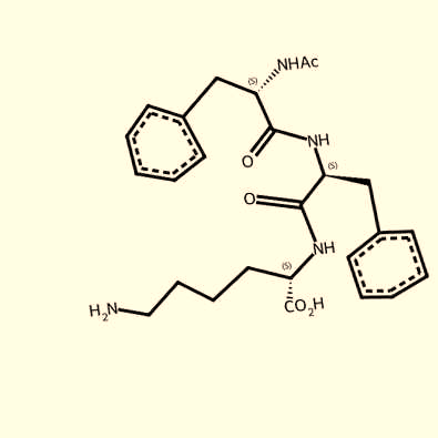 CC(=O)N[C@@H](Cc1ccccc1)C(=O)N[C@@H](Cc1ccccc1)C(=O)N[C@@H](CCCCN)C(=O)O